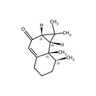 C[C@H]1CCCC2=CC(=O)[C@H]3[C@H](C3(C)C)[C@@]21C